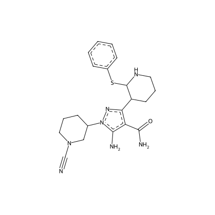 N#CN1CCCC(n2nc(C3CCCNC3Sc3ccccc3)c(C(N)=O)c2N)C1